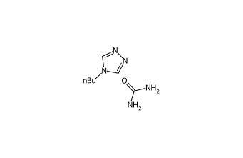 CCCCn1cnnc1.NC(N)=O